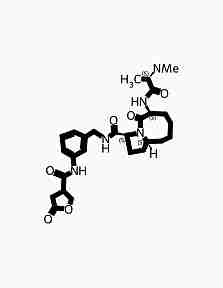 CN[C@@H](C)C(=O)N[C@H]1CCCC[C@H]2CC[C@@H](C(=O)NCc3cccc(NC(=O)C4COC(=O)C4)c3)N2C1=O